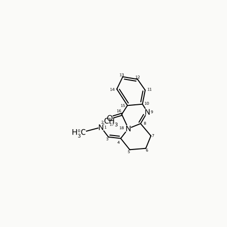 CN(C)/C=C1/CCCc2nc3ccccc3c(=O)n21